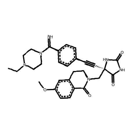 CCN1CCN(C(=N)c2ccc(C#C[C@]3(CN4CCc5cc(OC)ccc5C4=O)NC(=O)NC3=O)cc2)CC1